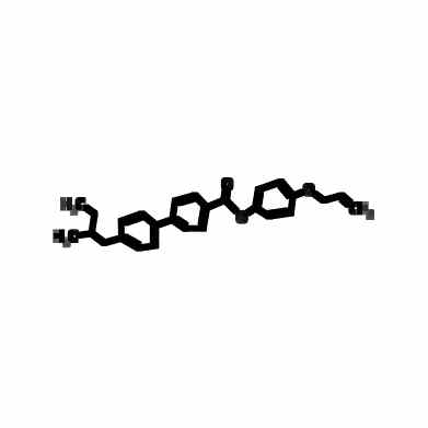 C=CCOc1ccc(OC(=O)c2ccc(-c3ccc(CC(C)CC)cc3)cc2)cc1